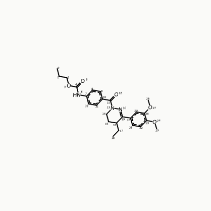 CCCOC(=O)Nc1ccc(C(=O)N2CCC(CC)C(c3ccc(OC)c(OC)c3)=N2)cc1